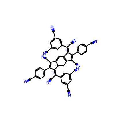 N#CC1=C(c2ccc(C#N)cc2)/C(=C(\C#N)c2cc(C#N)cc(C#N)c2)c2cc3c(cc21)/C(=C(/C#N)c1cc(C#N)cc(C#N)c1)C(c1ccc(C#N)cc1)=C3C#N